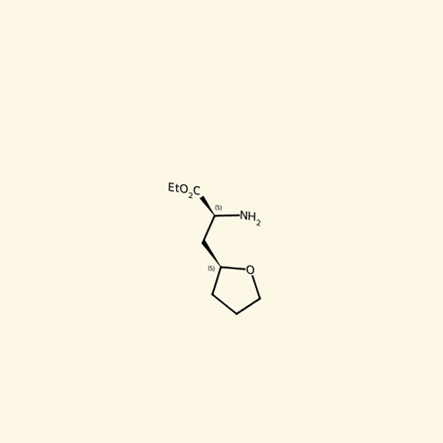 CCOC(=O)[C@@H](N)C[C@@H]1CCCO1